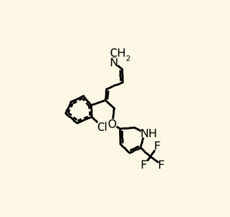 C=N/C=C\C=C(/COC1=CC=C(C(F)(F)F)NC1)c1ccccc1Cl